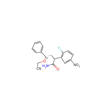 N#CCO[C@@H](C[C](C(N)=O)c1cc([N+](=O)[O-])ccc1F)c1ccccc1